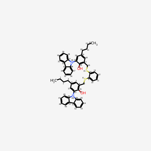 CCCCc1cc(CSc2ccccc2SCc2cc(CCCC)cc(-n3c4ccccc4c4ccccc43)c2O)c(O)c(-n2c3ccccc3c3ccccc32)c1